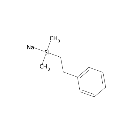 C[Si](C)([Na])CCc1ccccc1